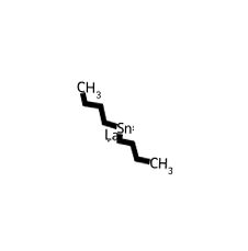 CCC[CH2][Sn][CH2]CCC.[La]